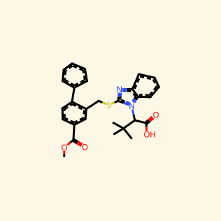 COC(=O)c1ccc(-c2ccccc2)c(CSc2nc3ccccc3n2C(C(=O)O)C(C)(C)C)c1